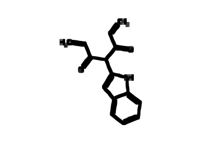 C=CC(=O)C(C(=O)C=C)c1cc2ccccc2[nH]1